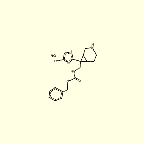 Cl.O=C(NCC1(c2nc(Cl)cs2)C2CCNCC21)OCc1ccccc1